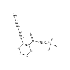 CCCC#CC#CC1=C(C(=O)C#C[Si](C)(C)C)CCCC1